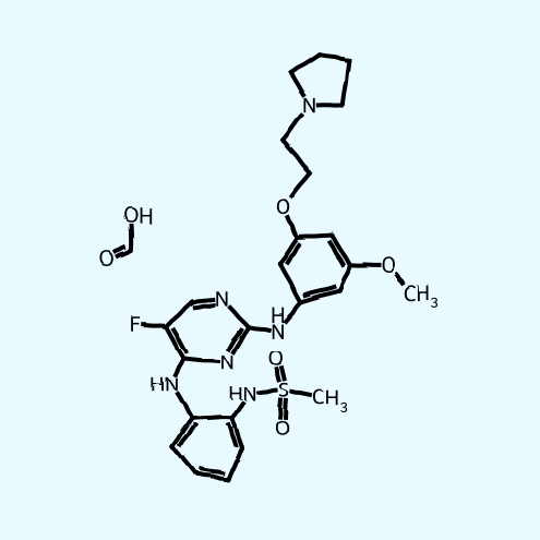 COc1cc(Nc2ncc(F)c(Nc3ccccc3NS(C)(=O)=O)n2)cc(OCCN2CCCC2)c1.O=CO